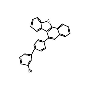 Brc1cccc(-c2ccc(-c3cc4ccccc4c4sc5ccccc5c34)cc2)c1